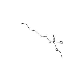 CCCCCCOP(=O)(Cl)OCC